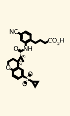 N#Cc1ccc(CCCC(=O)O)c(NC(=O)[C@@H]2C[C@]23CCOc2ccc(S(=O)(=O)C4CC4)cc23)c1